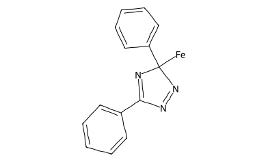 [Fe][C]1(c2ccccc2)N=NC(c2ccccc2)=N1